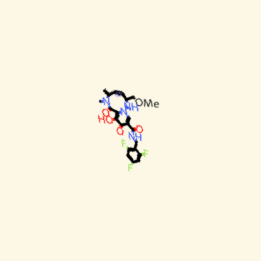 COCC1/C=C\C(C)N(C)C(=O)c2c(O)c(=O)c(C(=O)NCc3c(F)cc(F)cc3F)cn2N1